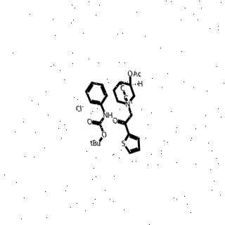 CC(=O)O[C@H]1C[N+]2(CC(=O)c3cccs3)CCC1CC2.CC(C)(C)OC(=O)Nc1ccccc1.[Cl-]